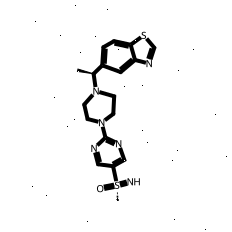 C[C@@H](c1ccc2scnc2c1)N1CCN(c2ncc([S@@](C)(=N)=O)cn2)CC1